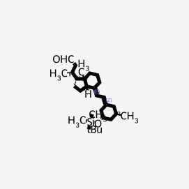 C[C@@H]1C/C(=C/C=C2\CCC[C@]3(C)[C@@H]([C@H](C)CC=O)CC[C@@H]23)C[C@@H](O[Si](C)(C)C(C)(C)C)C1